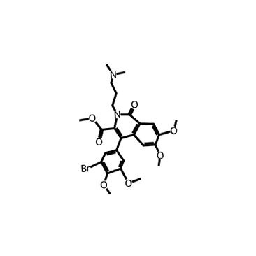 COC(=O)c1c(-c2cc(Br)c(OC)c(OC)c2)c2cc(OC)c(OC)cc2c(=O)n1CCCN(C)C